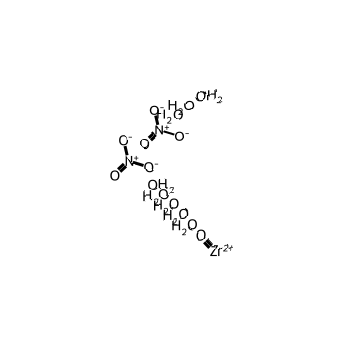 O.O.O.O.O.O.O.O.O=[N+]([O-])[O-].O=[N+]([O-])[O-].[O]=[Zr+2]